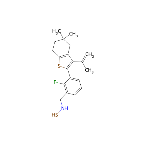 C=C(C)c1c(-c2cccc(CNS)c2F)sc2c1CC(C)(C)CC2